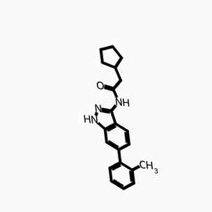 Cc1ccccc1-c1ccc2c(NC(=O)CC3CCCC3)n[nH]c2c1